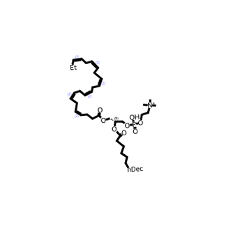 CC/C=C\C/C=C\C/C=C\C/C=C\C/C=C\C/C=C\CCC(=O)OC[C@H](COP(=O)(O)OCC[N+](C)(C)C)OC(=O)CCCCCCCCCCCCCCC